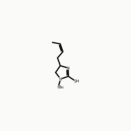 C/C=C\CC1CN(C(C)(C)C)C(S)=N1